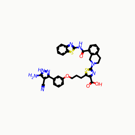 N#Cc1c(-c2cccc(OCCCc3sc(N4CCc5cccc(C(=O)Nc6nc7ccccc7s6)c5C4)nc3C(=O)O)c2)n[nH]c1N